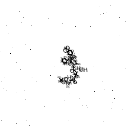 CC(C)CN(C(O)(CCNC(=O)CC(C)(C)CNC(=O)CCN(C)C(=O)OC(C)(C)C)Cc1ccccc1)S(=O)(=O)c1ccc2c(c1)OCO2.Cl